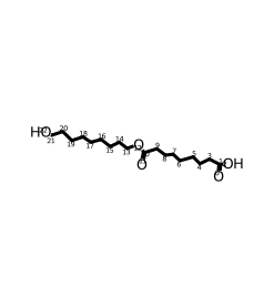 O=C(O)CCCCCCCC(=O)OCCCCCCCCCO